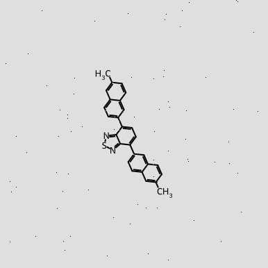 Cc1ccc2cc(-c3ccc(-c4ccc5cc(C)ccc5c4)c4nsnc34)ccc2c1